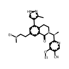 CCOc1cc([C@H](C)N2CCc3c(cc(CCN(C)CC)cc3-c3c[nH]nc3C)C2=O)ncc1C#N